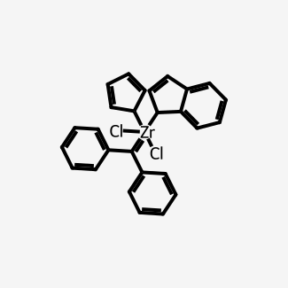 [Cl][Zr]([Cl])(=[C](c1ccccc1)c1ccccc1)([CH]1C=CC=C1)[CH]1C=Cc2ccccc21